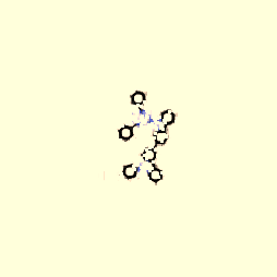 CC(C)(C)c1ccc(-n2c3ccccc3c3cc(-c4ccc5c6ccccc6n(-c6nc(-c7ccccc7)nc(-c7ccccc7)n6)c5c4)ccc32)cc1